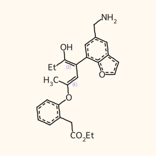 CCOC(=O)Cc1ccccc1O/C(C)=C/C(=C(/O)CC)c1cc(CN)cc2ccoc12